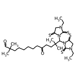 CCN1CC(=S)N(C(N2C(=S)CN(CC)C2=S)C(C)(C)CCC(=O)CCCCCCC(C)(C)C=O)C1=S